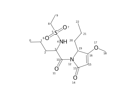 CCCC(NS(=O)(=O)CC)C(=O)N1C(=O)C=C(OC)C1CCC